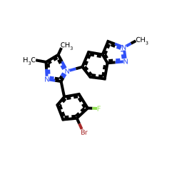 Cc1nc(-c2ccc(Br)c(F)c2)n(-c2ccc3nn(C)cc3c2)c1C